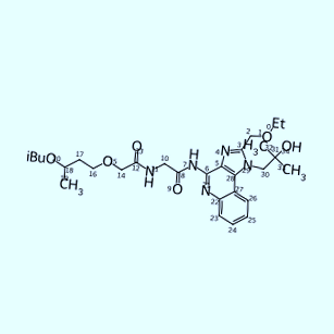 CCOCc1nc2c(NC(=O)CNC(=O)COCCC(C)OCC(C)C)nc3ccccc3c2n1CC(C)(C)O